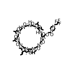 C/C=C/C[C@@H](C)[C@@H](O)[C@H]1C(=O)N[C@@H](CC)C(=O)N(C)[C@H](C)C(=O)N(C)[C@@H]([C@H](C)COCC(=O)N2CCN(CCC(F)(F)F)CC2)C(=O)N[C@@H](C(C)C)C(=O)N(C)[C@@H](CC(C)C)C(=O)N[C@@H](C)C(=O)N[C@H](C)C(=O)N(C)[C@@H](CC(C)C)C(=O)N(C)[C@@H](CC(C)C)C(=O)N(C)[C@@H](C(C)C)C(=O)N1C